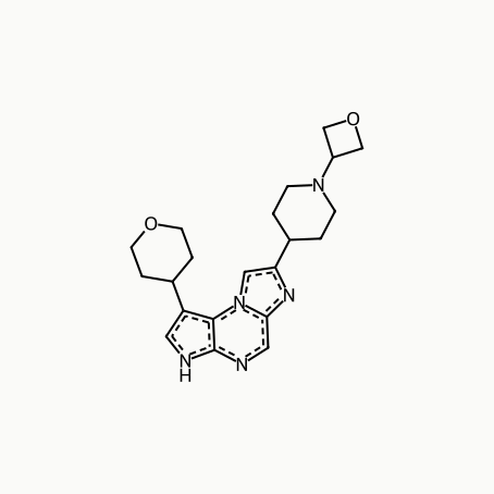 c1[nH]c2ncc3nc(C4CCN(C5COC5)CC4)cn3c2c1C1CCOCC1